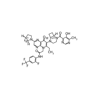 CCc1c(N2CCN(C(=O)c3ncnc(C)c3O)[C@H]3CC[C@@H]32)c(=O)c2nc(N3CC[C@H]4C[C@H]43)cnc2n1CC(=O)Nc1ccc(C(F)(F)F)cc1F